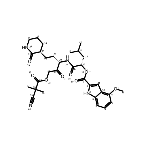 COc1cccc2[nH]c(C(=O)N[C@@H](CC(C)C)C(=O)N[C@@H](CC[C@@H]3CCCNC3=O)C(=O)COC(=O)C(C)(C)C#N)cc12